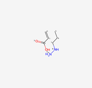 C=CC(=O)O.CCCNN